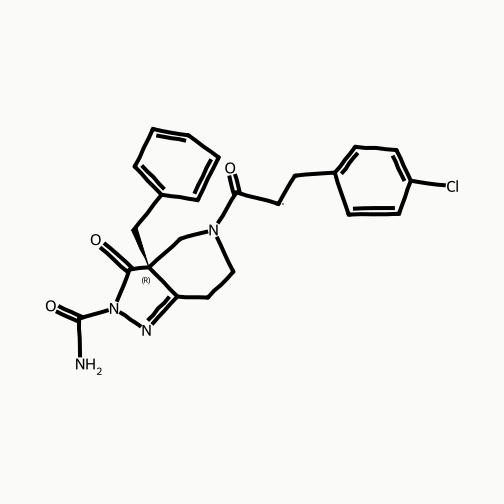 NC(=O)N1N=C2CCN(C(=O)[CH]Cc3ccc(Cl)cc3)C[C@@]2(Cc2ccccc2)C1=O